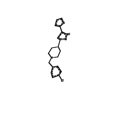 Clc1ccc(CN2CCC(c3cc(-c4cccs4)[nH]n3)CC2)cc1